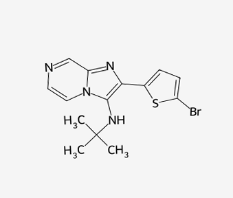 CC(C)(C)Nc1c(-c2ccc(Br)s2)nc2cnccn12